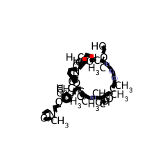 CO[C@@H]1C[C@H](C[C@@H](C)[C@@H]2CC(=O)[C@H](C)/C=C(\C)[C@@H](O)[C@@H](OC)C(=O)[C@H](C)C[C@H](C)/C=C/C=C/C=C(\C)[C@H](OCCO)C[C@@H]3CC[C@@H](C)[C@@](O)(O3)C(=O)C(=O)N3CCCC[C@H]3C(=O)O2)CC[C@H]1OCCCN1CCOC[C@H]1C